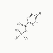 C=C(O[Si](C)(C)C)c1ccc(Cl)nc1